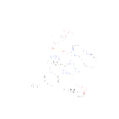 COc1cc(C(C)C)cc(OC)c1-n1c(NS(=O)(=O)[C@@H](C)[C@@H](O)c2cn3ccccc3n2)nnc1-c1ccc(C)o1